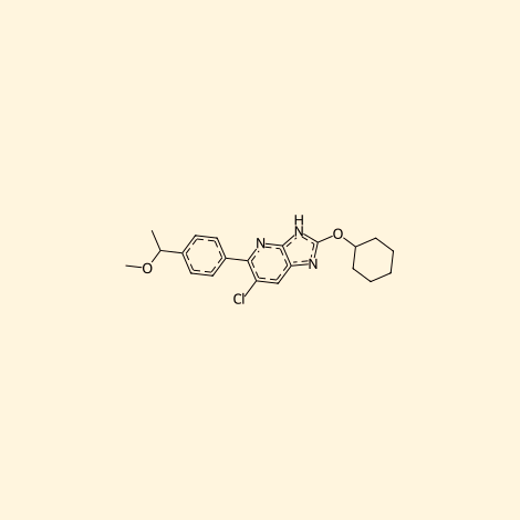 COC(C)c1ccc(-c2nc3[nH]c(OC4CCCCC4)nc3cc2Cl)cc1